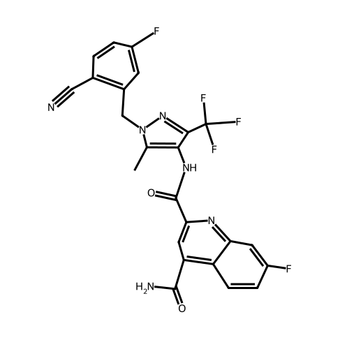 Cc1c(NC(=O)c2cc(C(N)=O)c3ccc(F)cc3n2)c(C(F)(F)F)nn1Cc1cc(F)ccc1C#N